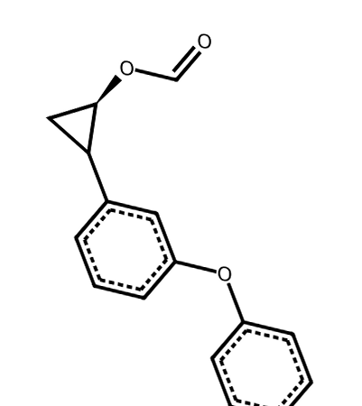 O=CO[C@@H]1CC1c1cccc(Oc2ccccc2)c1